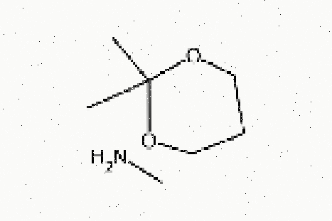 CC1(C)OCCCO1.CN